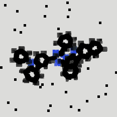 C1=C(c2nc(-c3ccccc3)nc(-c3ccccc3-n3c4ccccc4c4cc5ccccc5cc43)n2)CCc2c1c1ccccc1n2-c1ccccc1